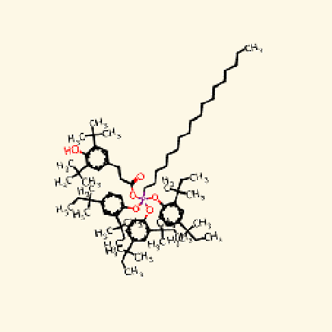 CCCCCCCCCCCCCCCCCCP(OC(=O)CCc1cc(C(C)(C)C)c(O)c(C(C)(C)C)c1)(Oc1ccc(C(C)(C)CC)cc1C(C)(C)CC)(Oc1ccc(C(C)(C)CC)cc1C(C)(C)CC)Oc1ccc(C(C)(C)CC)cc1C(C)(C)CC